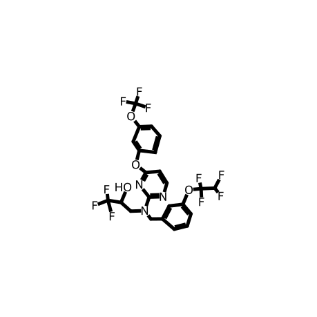 OC(CN(Cc1cccc(OC(F)(F)C(F)F)c1)c1nccc(Oc2cccc(OC(F)(F)F)c2)n1)C(F)(F)F